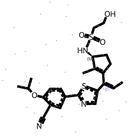 C/C=C(\C1=C(C)[C@@H](NS(=O)(=O)CCO)CC1)c1cnc(-c2ccc(OC(C)C)c(C#N)c2)s1